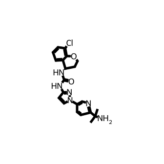 CC(C)(N)c1ccc(-n2ccc(NC(=O)N[C@H]3CCOc4c(Cl)cccc43)n2)cn1